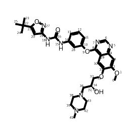 COc1cc2ncnc(Oc3cccc(NC(=O)Nc4cc(C(C)(C)C)on4)c3)c2cc1OC[C@@H](O)CN1CCN(C)CC1